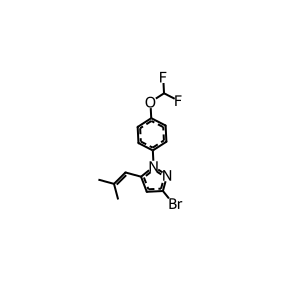 CC(C)=Cc1cc(Br)nn1-c1ccc(OC(F)F)cc1